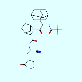 N#C[C@H](C[C@@H]1CCNC1=O)NC(=O)[C@@H]1[C@H]2CC[C@H](C2)N1C(=O)[C@@H](NC(=O)C(F)(F)F)C12CC3CC(CC(C3)C1)C2